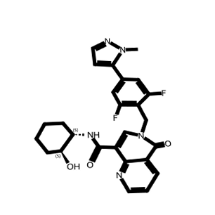 Cn1nccc1-c1cc(F)c(Cn2cc(C(=O)N[C@H]3CCCC[C@@H]3O)c3ncccc3c2=O)c(F)c1